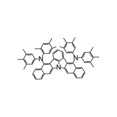 Cc1cc(C)c(N(c2cc(C)c(C)c(C)c2)c2c3ccccc3cc3c2c2cccc4c5c(N(c6cc(C)c(C)c(C)c6)c6cc(C)c(C)c(C)c6)c6ccccc6cc5n3c42)cc1C